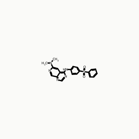 CN(C)c1cc2c(Nc3ccc(S(=O)(=O)c4ccccc4)cc3)ncnc2cn1